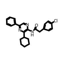 O=C(Cc1ccc(Cl)cc1)Nc1ncc(-c2ccccc2)nc1C1CCCCC1